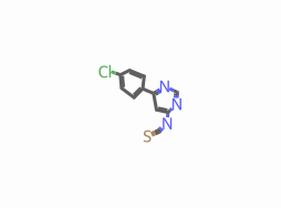 S=C=Nc1cc(-c2ccc(Cl)cc2)ncn1